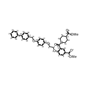 COC(=O)c1ccc(OCCOc2ccc(OCc3ccc(-c4ccccc4)cc3)cc2)c(C(=O)N2CCC(C(=O)OC)CC2)c1